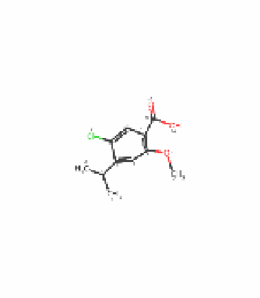 COc1cc(C(C)C)c(Cl)cc1C(=O)O